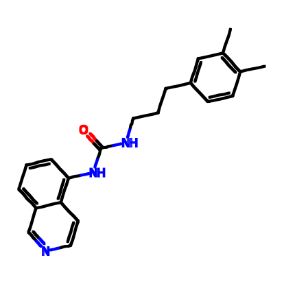 Cc1ccc(CCCNC(=O)Nc2cccc3cnccc23)cc1C